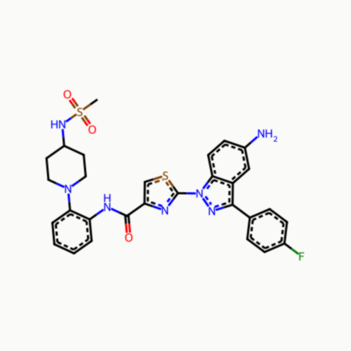 CS(=O)(=O)NC1CCN(c2ccccc2NC(=O)c2csc(-n3nc(-c4ccc(F)cc4)c4cc(N)ccc43)n2)CC1